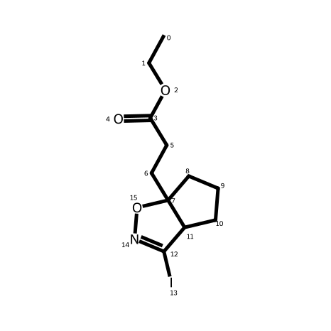 CCOC(=O)CCC12CCCC1C(I)=NO2